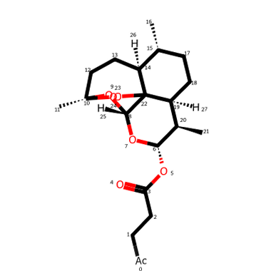 CC(=O)CCC(=O)O[C@@H]1O[C@@H]2O[C@]3(C)CC[C@H]4[C@H](C)CC[C@@H]([C@H]1C)C24OO3